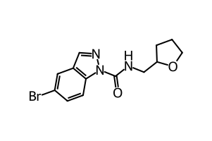 O=C(NCC1CCCO1)n1ncc2cc(Br)ccc21